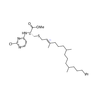 COC(=O)[C@H](CSC/C=C(\C)CCCC(C)CCCC(C)CCCC(C)C)Nc1ccnc(Cl)n1